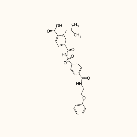 CC(C)CN1CC(C(=O)NS(=O)(=O)c2ccc(C(=O)NCCOc3ccccc3)cc2)=CC=C1C(=O)O